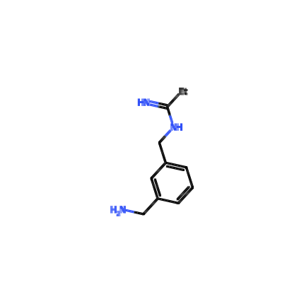 CCC(=N)NCc1cccc(CN)c1